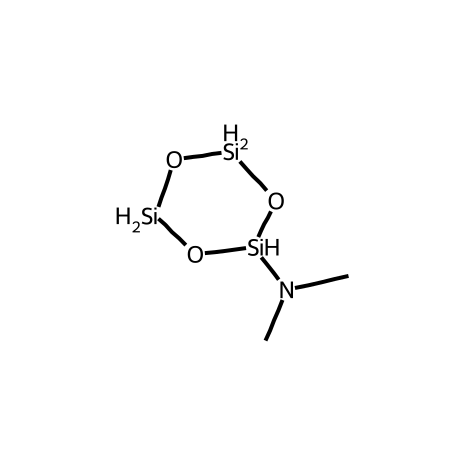 CN(C)[SiH]1O[SiH2]O[SiH2]O1